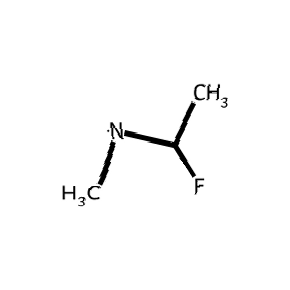 C[N]C(C)F